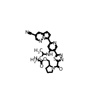 CC(C)Nc1cc(-c2ccc3cc(C#N)cnn23)ncc1-c1nnc(C(=O)N2CCCC2COC(N)=O)s1